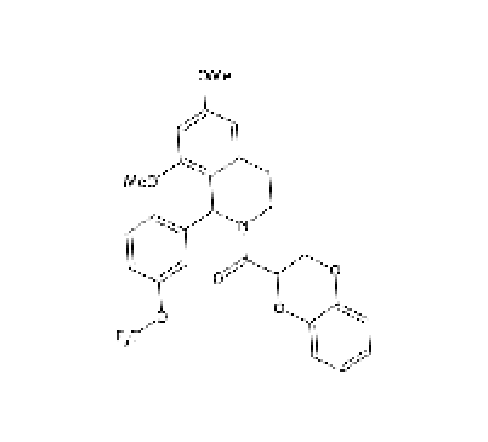 COc1cc2c(c(OC)c1)C(c1cccc(OC(F)(F)F)c1)N(C(=O)C1COc3ccccc3O1)CC2